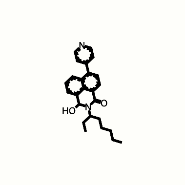 CCCCCC(CC)N1C(=O)c2ccc(-c3ccncc3)c3cccc(c23)C1O